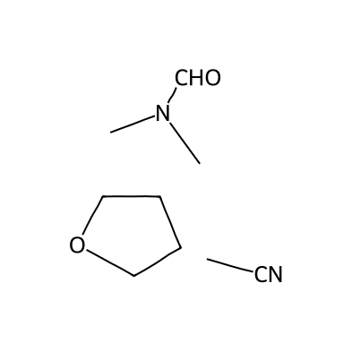 C1CCOC1.CC#N.CN(C)C=O